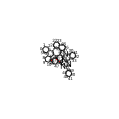 c1ccc(C2=C(c3ccccc3)c3cccc4c3c3c5c2cccc5ccc3n4-c2ccccc2-c2nc(-c3ccccc3)nc(-c3ccccc3)n2)cc1